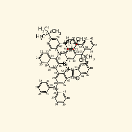 CC(C)(C)c1ccc(N2c3cc4c(cc3B3c5c(cc6ccccc6c52)-c2cc(N(c5ccccc5)c5ccccc5)cc5c6oc7ccccc7c6n3c25)C(C)(C)c2ccccc2C4(C)C)c(-c2ccccc2)c1